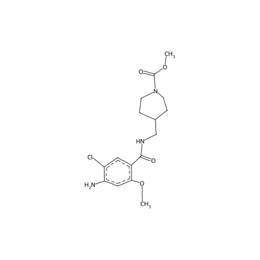 COC(=O)N1CCC(CNC(=O)c2cc(Cl)c(N)cc2OC)CC1